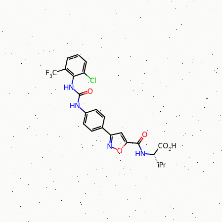 CC(C)[C@H](NC(=O)c1cc(-c2ccc(NC(=O)Nc3c(Cl)cccc3C(F)(F)F)cc2)no1)C(=O)O